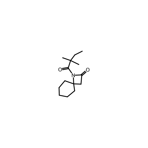 CCC(C)(C)C(=O)N1C(=O)CC12CCCCC2